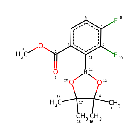 COC(=O)c1ccc(F)c(F)c1B1OC(C)(C)C(C)(C)O1